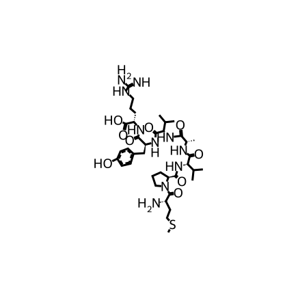 CSCC[C@H](N)C(=O)N1CCC[C@H]1C(=O)N[C@H](C(=O)N[C@@H](C)C(=O)N[C@H](C(=O)N[C@@H](Cc1ccc(O)cc1)C(=O)N[C@@H](CCCNC(=N)N)C(=O)O)C(C)C)C(C)C